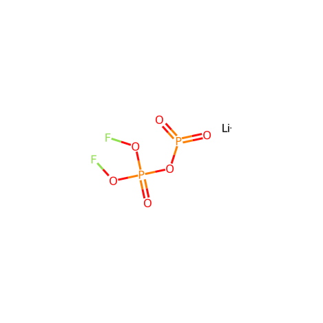 O=P(=O)OP(=O)(OF)OF.[Li]